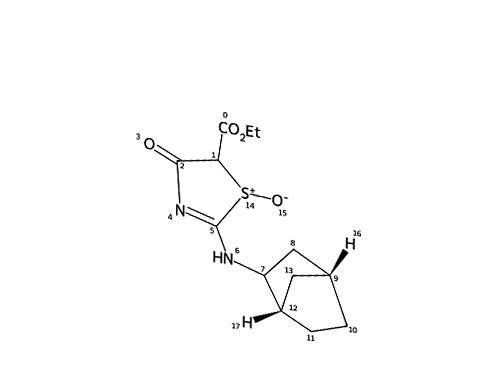 CCOC(=O)C1C(=O)N=C(NC2C[C@@H]3CC[C@H]2C3)[S+]1[O-]